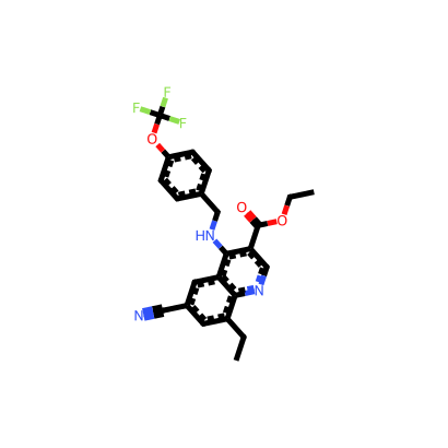 CCOC(=O)c1cnc2c(CC)cc(C#N)cc2c1NCc1ccc(OC(F)(F)F)cc1